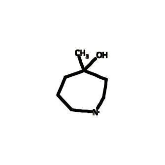 CC1(O)CCC[N]CC1